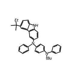 CCC(C)(C)c1ccc2[nH]c3ccc(N(c4ccccc4)c4ccc(N(c5ccccc5)C(C)(C)C)cc4)cc3c2c1